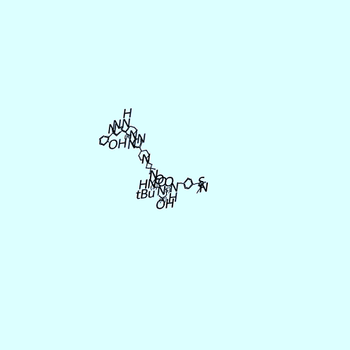 Cc1ncsc1-c1ccc(CNC(=O)[C@@H]2C[C@@H](O)CN2C(=O)[C@@H](NC(=O)N2CC3(CC(N4CCC(c5cnc(N6CCc7[nH]c8nnc(-c9ccccc9O)cc8c7[C@H]6C)nc5)CC4)C3)C2)C(C)(C)C)cc1